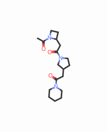 CC(=O)N1CCC1CC(=O)N1CCC(CC(=O)N2CCCCC2)C1